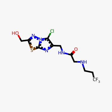 O=C(CNCCC(F)(F)F)NCc1nc2sc(CO)nn2c1Cl